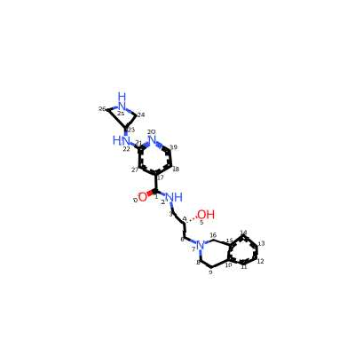 O=C(NC[C@H](O)CN1CCc2ccccc2C1)c1ccnc(NC2CNC2)c1